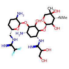 CN[C@@H]1C(O)[C@@H](OC2C(O)C(O[C@H]3O[C@H](CNC(=N)C(F)F)CCC3N)[C@@H](N)C[C@H]2NC(=N)C(O)CO)OCC1(C)O